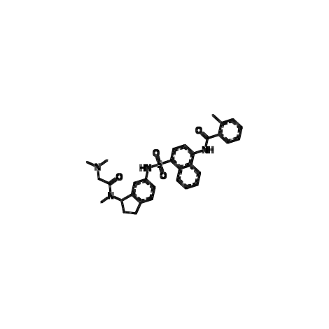 Cc1ccccc1C(=O)Nc1ccc(S(=O)(=O)Nc2ccc3c(c2)C(N(C)C(=O)CN(C)C)CC3)c2ccccc12